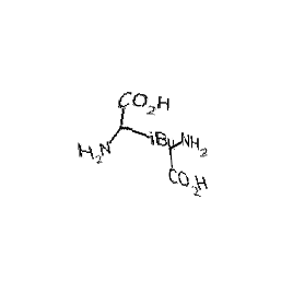 CCC(C)C(N)C(=O)O.NCC(=O)O